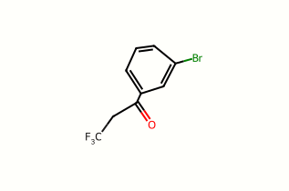 O=C(CC(F)(F)F)c1cccc(Br)c1